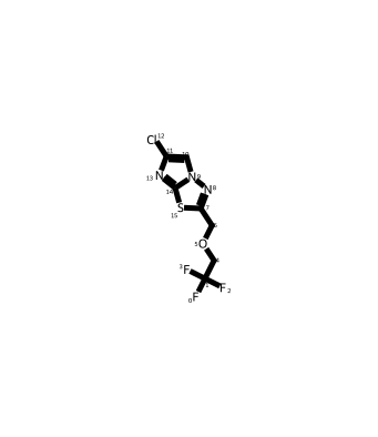 FC(F)(F)COCc1nn2cc(Cl)nc2s1